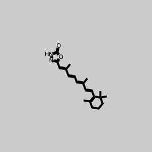 CC1=C(/C=C/C(C)=C/C=C/C(C)=C/c2n[nH]c(=O)o2)C(C)(C)CCC1